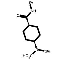 CC(C)NC(=O)[C@H]1CC[C@@H](N(C(=O)O)C(C)(C)C)CC1